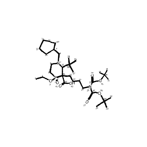 CCOP1(=O)CCN(CC2CCCCC2)C(C(C)(C)C)C1(CCCCN(C(=O)OC(C)(C)C)C(=O)OC(C)(C)C)C(=O)O